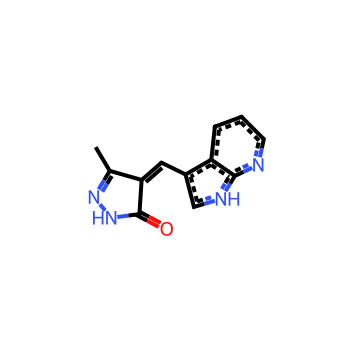 CC1=NNC(=O)C1=Cc1c[nH]c2ncccc12